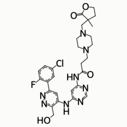 CC1(CN2CCN(CCC(=O)Nc3cc(Nc4cc(-c5cc(Cl)ccc5F)nnc4CO)ncn3)CC2)CCOC1=O